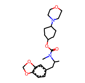 CC(Cc1ccc2c(c1)OCO2)N(C)C(=O)OC1CCC(N2CCOCC2)CC1